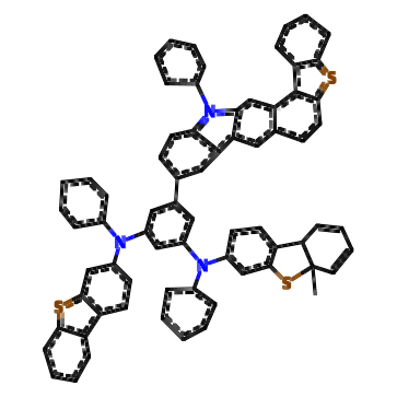 CC12C=CC=CC1c1ccc(N(c3ccccc3)c3cc(-c4ccc5c(c4)c4cc6ccc7sc8ccccc8c7c6cc4n5-c4ccccc4)cc(N(c4ccccc4)c4ccc5c(c4)sc4ccccc45)c3)cc1S2